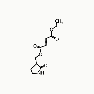 CCOC(=O)/C=C/C(=O)OC[C@@H]1CCNC1=O